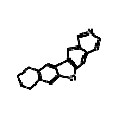 c1cc2cc3oc4cc5c(cc4c3cc2cn1)CCCC5